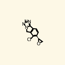 Clc1c([C@H]2CO2)ccc2c1Cn1nnnc1-2